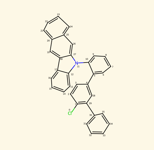 Clc1ccc(-c2ccccc2-n2c3ccccc3c3cc4ccccc4cc32)cc1-c1ccccc1